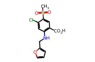 CS(=O)(=O)c1cc(C(=O)O)c(NCc2ccco2)cc1Cl